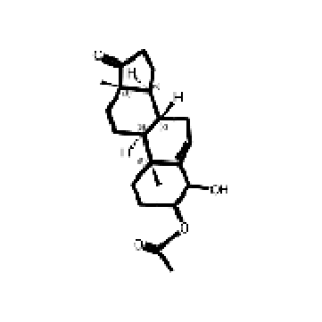 CC(=O)OC1CC[C@@]2(C)C(=CC[C@@H]3[C@@H]2CC[C@]2(C)C(=O)CC[C@@H]32)C1O